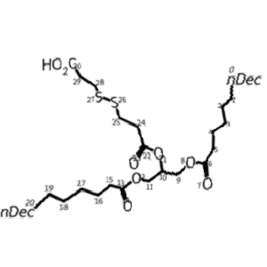 CCCCCCCCCCCCCCCC(=O)OCC(COC(=O)CCCCCCCCCCCCCCC)OC(=O)CCSSCCC(=O)O